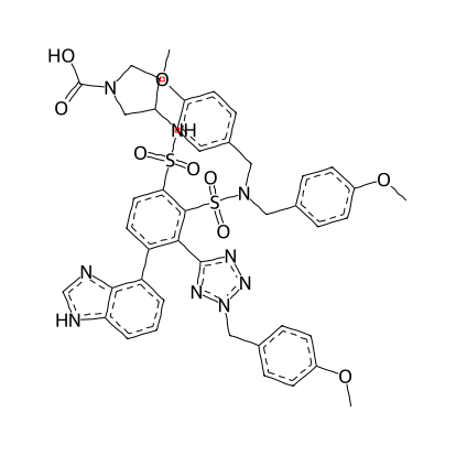 COc1ccc(CN(Cc2ccc(OC)cc2)S(=O)(=O)c2c(S(=O)(=O)NC3CCN(C(=O)O)C3)ccc(-c3cccc4[nH]cnc34)c2-c2nnn(Cc3ccc(OC)cc3)n2)cc1